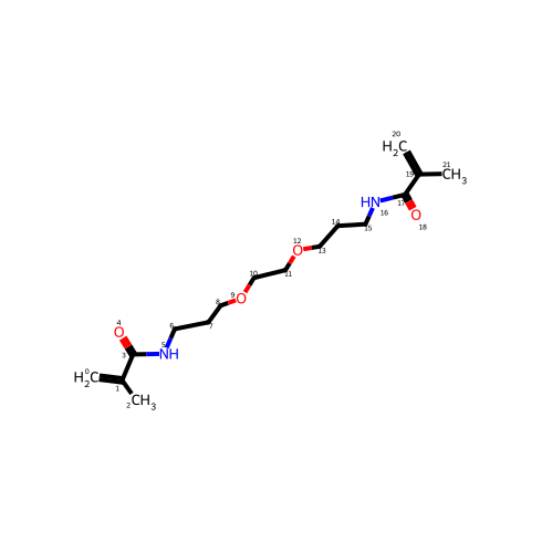 C=C(C)C(=O)NCCCOCCOCCCNC(=O)C(=C)C